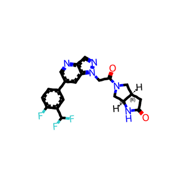 O=C1C[C@@H]2CN(C(=O)Cn3ncc4ncc(-c5ccc(F)c(C(F)F)c5)cc43)C[C@@H]2N1